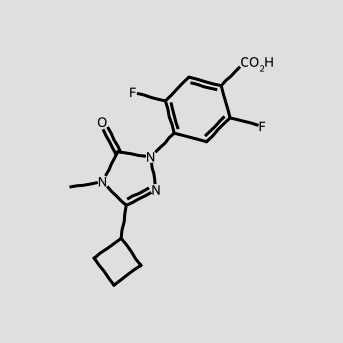 Cn1c(C2CCC2)nn(-c2cc(F)c(C(=O)O)cc2F)c1=O